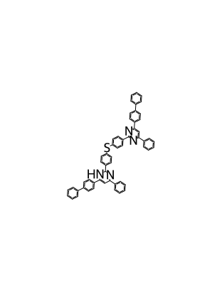 C1=C(c2ccc(-c3ccccc3)cc2)NC(c2ccc(Sc3ccc(-c4nc(-c5ccccc5)cc(-c5ccc(-c6ccccc6)cc5)n4)cc3)cc2)N=C1c1ccccc1